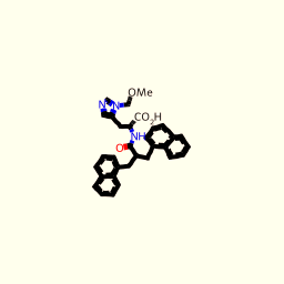 COCn1cncc1CC(NC(=O)C(Cc1cccc2ccccc12)Cc1cccc2ccccc12)C(=O)O